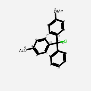 COc1ccc(C(Cl)(c2ccccc2)c2ccc(OC(C)=O)cc2)cc1